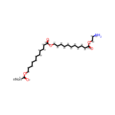 CCCCCCCCCC(=O)OCCCCCCCCCCC(=O)OCCCCCCCCCCC(=O)OCCN